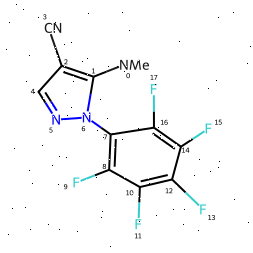 CNc1c(C#N)cnn1-c1c(F)c(F)c(F)c(F)c1F